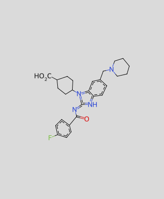 O=C(/N=c1\[nH]c2ccc(CN3CCCCC3)cc2n1C1CCC(C(=O)O)CC1)c1ccc(F)cc1